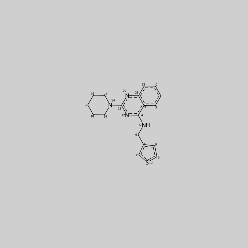 c1ccc2c(NCc3ccsc3)nc(N3CCCCC3)nc2c1